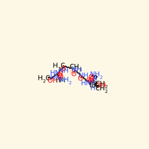 C=C/C(O)=C\C=C\C[C@H](NC(=O)CNCOC(C)CCCC[C@@H](C)C1=BC(=O)[C@H](CCCCNC(=O)CCCCC(=O)NC(C(=O)N[C@@H](CC(=C)/C=C\C(=C)O)C(=O)N2CCC[C@H]2C(N)=O)C(C)(C)C)N1)C(=O)N[C@@H](CCC)C(N)=O